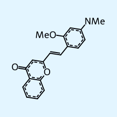 CNc1ccc(C=Cc2cc(=O)c3ccccc3o2)c(OC)c1